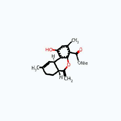 C=C1Oc2c(C(=O)OC)c(C)cc(O)c2[C@@H]2C=C(C)CC[C@@H]12